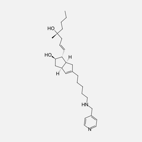 CCCC[C@@](C)(O)C/C=C/[C@@H]1[C@H]2CC(CCCCCNCc3ccncc3)=C[C@H]2C[C@H]1O